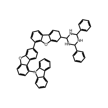 C1=c2oc3c(-c4ccc5c(c4)oc4cccc(-n6c7ccccc7c7ccccc76)c45)cccc3c2=CCC1C1NC(c2ccccc2)NC(c2ccccc2)N1